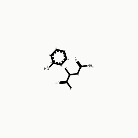 CC(=O)C(C)CC(N)=O.Oc1ccccc1